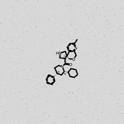 Cc1ccc2c(n1)COC[C@]21CNCC1C(=O)N1CC[C@@H](c2ccccc2)C[C@H]1C1CCCCC1